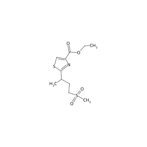 CCOC(=O)c1csc(C(C)CCS(C)(=O)=O)n1